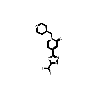 O=c1cc(-c2nnc(C(F)F)o2)ccn1CC1CCOCC1